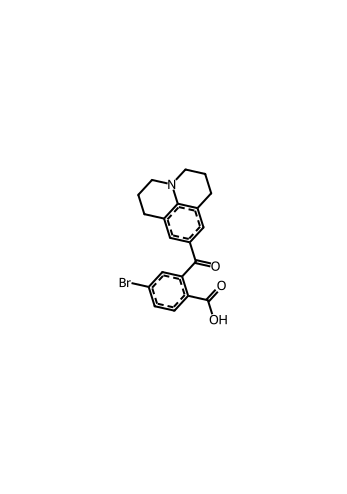 O=C(O)c1ccc(Br)cc1C(=O)c1cc2c3c(c1)CCCN3CCC2